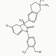 Cc1cc(N2C(=O)[C@@](C)(c3ccc4c(c3)CCC(C)(C)C4)C3CC(Cl)=CC=C32)ccc1CC(C)C